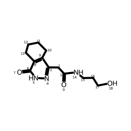 O=C(Cc1n[nH]c(=O)c2c1CCCC2)NCCCO